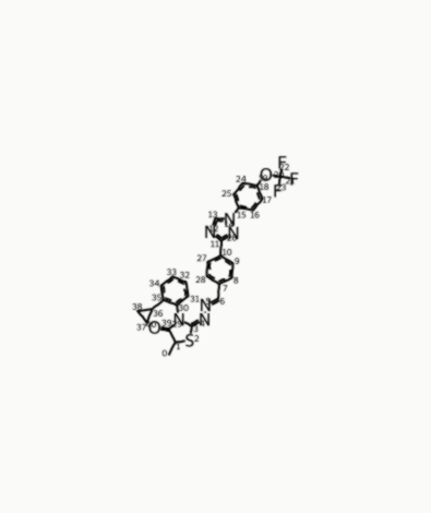 CC1SC(=NN=Cc2ccc(-c3ncn(-c4ccc(OC(F)(F)F)cc4)n3)cc2)N(c2ccccc2C2CC2)C1=O